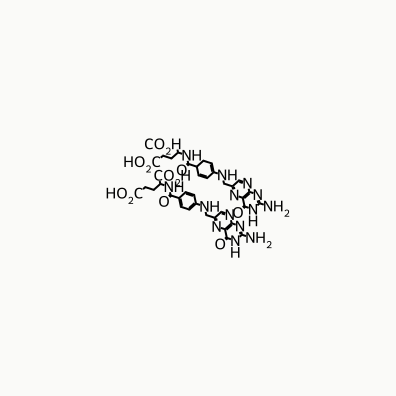 Nc1nc2ncc(CNC3=CCC(C(=O)NC(CCC(=O)O)C(=O)O)C=C3)nc2c(=O)[nH]1.Nc1nc2ncc(CNc3ccc(C(=O)NC(CCC(=O)O)C(=O)O)cc3)nc2c(=O)[nH]1